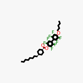 CCCCCCCC[C@H]1CC[C@H](C(=O)Oc2c(F)c(F)c(-c3c(F)c(F)c(OCCCCC)c(F)c3F)c(F)c2F)CC1